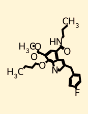 CCCCNC(=O)c1cc(C(=O)OC)c(OCCCC)c2ncc(Cc3ccc(F)cc3)cc12